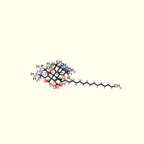 CCCCCCCCCCCCCCCCCCC(C(=O)O)(C1CC(C)(C)NC(C)(C)C1)C(C(=O)O)(C1CC(C)(C)NC(C)(C)C1)C(CC(=O)O)(C(=O)O)C1CC(C)(C)NC(C)(C)C1